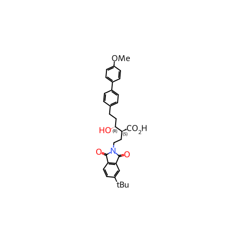 COc1ccc(-c2ccc(CC[C@@H](O)[C@H](CCN3C(=O)c4ccc(C(C)(C)C)cc4C3=O)C(=O)O)cc2)cc1